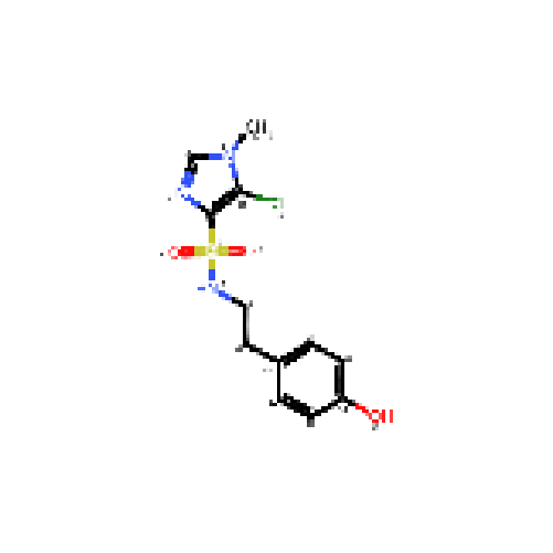 Cn1cnc(S(=O)(=O)NCCc2ccc(O)cc2)c1Cl